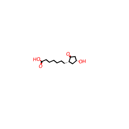 O=C(O)CCCCCC[C@H]1C[C@@H](O)CC1=O